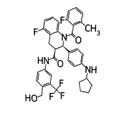 Cc1cccc(F)c1C(=O)N1c2cccc(F)c2C[C@H](C(=O)Nc2ccc(CO)c(C(F)(F)F)c2)[C@@H]1c1ccc(NC2CCCC2)cc1